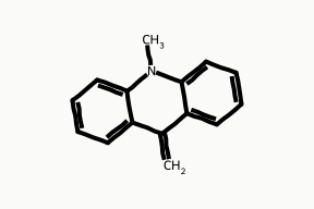 C=C1c2ccccc2N(C)c2ccccc21